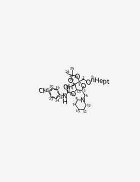 CCCCCCCOC[C@@]12O[C@@H](CN3CCCCC3)[C@@H](OC(=O)Nc3ccc(Cl)cc3)[C@@H]1OC(C)(C)O2